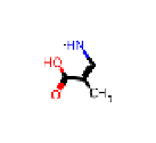 CC(=C[NH])C(=O)O